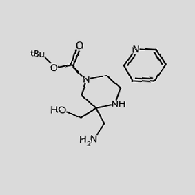 CC(C)(C)OC(=O)N1CCNC(CN)(CO)C1.c1ccncc1